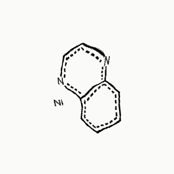 [Ni].c1ccc2nccnc2c1